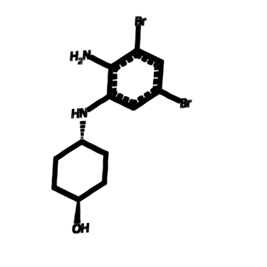 Nc1c(Br)cc(Br)cc1N[C@H]1CC[C@H](O)CC1